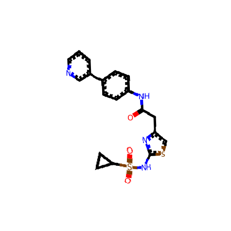 O=C(Cc1csc(NS(=O)(=O)C2CC2)n1)Nc1ccc(-c2cccnc2)cc1